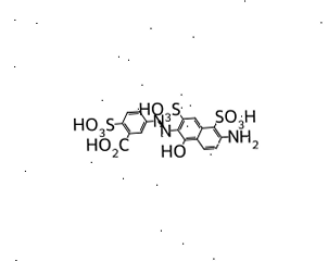 Nc1ccc2c(O)c(N=Nc3ccc(S(=O)(=O)O)c(C(=O)O)c3)c(S(=O)(=O)O)cc2c1S(=O)(=O)O